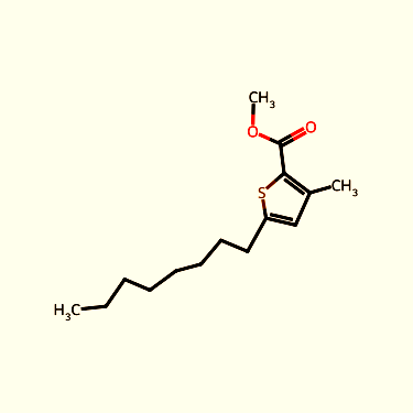 CCCCCCCCc1cc(C)c(C(=O)OC)s1